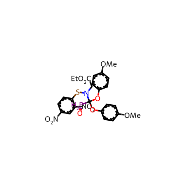 CCOC(=O)CN(Sc1ccc([N+](=O)[O-])cc1[N+](=O)[O-])C(Oc1ccc(OC)cc1)(Oc1ccc(OC)cc1)[PH2]=O